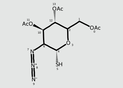 CC(=O)OCC1O[C@H](S)C(N=[N+]=[N-])[C@@H](OC(C)=O)[C@@H]1OC(C)=O